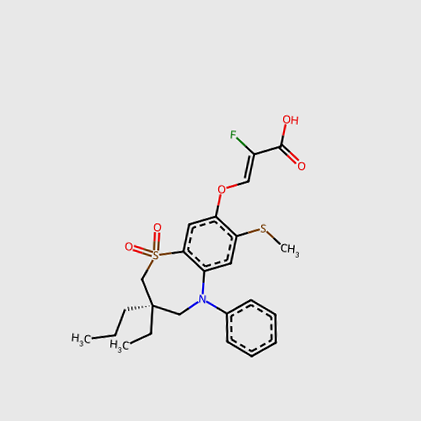 CCC[C@@]1(CC)CN(c2ccccc2)c2cc(SC)c(O/C=C(\F)C(=O)O)cc2S(=O)(=O)C1